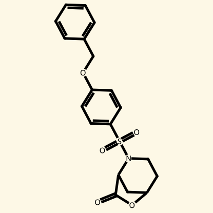 O=C1OC2CCN(S(=O)(=O)c3ccc(OCc4ccccc4)cc3)C1C2